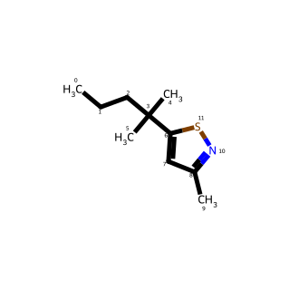 CCCC(C)(C)c1cc(C)ns1